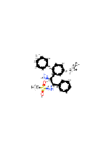 CS(=O)(=O)N[C@@H](c1ccccc1)[C@@H](N)c1ccccc1.[H-].[H-].[H-].[Ru+3].c1ccccc1